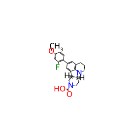 COc1ccc(-c2cc3c4c(c2)[C@@H]2CN(C(=O)O)CC[C@@H]2N4CCC3)c(F)c1